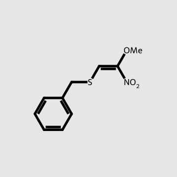 COC(=CSCc1ccccc1)[N+](=O)[O-]